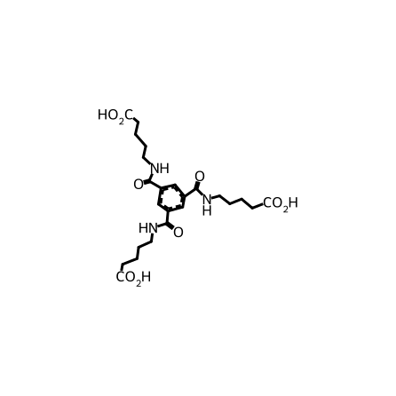 O=C(O)CCCCNC(=O)c1cc(C(=O)NCCCCC(=O)O)cc(C(=O)NCCCCC(=O)O)c1